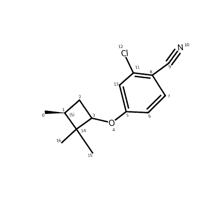 C[C@H]1CC(Oc2ccc(C#N)c(Cl)c2)C1(C)C